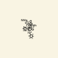 CNC(=O)C[C@]1(CC(=O)O)OB([C@H](CC(C)C)NC(=O)[C@H](CCc2ccccc2)NC(=O)c2cnccn2)OC1=O